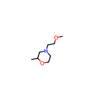 COCCN1CCOC(C)C1